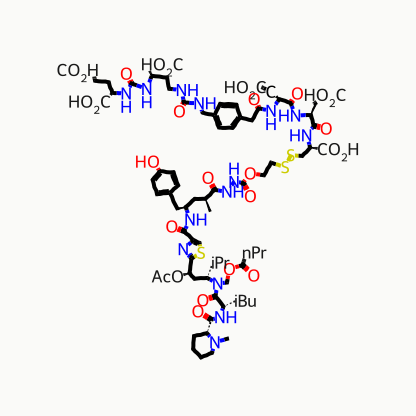 CCCC(=O)OCN(C(=O)[C@@H](NC(=O)[C@H]1CCCCN1C)C(C)CC)[C@H](C[C@@H](OC(C)=O)c1nc(C(=O)N[C@@H](Cc2ccc(O)cc2)C[C@H](C)C(=O)NNC(=O)OCCSSC[C@@H](NC(=O)[C@H](CC(=O)O)NC(=O)[C@H](CC(=O)O)NC(=O)Cc2ccc(CNC(=O)NCC[C@@H](NC(=O)N[C@H](CCC(=O)O)C(=O)O)C(=O)O)cc2)C(=O)O)cs1)C(C)C